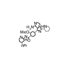 CCCc1ccnc(NC(=O)c2ccc(-c3nc([C@@H]4CCCCN4)n4ccnc(N)c34)cc2OC)c1